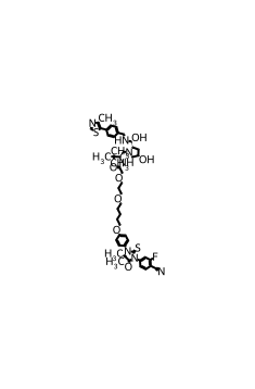 Cc1ncsc1-c1ccc(CNC(O)[C@@H]2C[C@@H](O)CN2C[C@@H](NC(=O)COCCCOCCCCCOc2ccc(N3C(=S)N(c4ccc(C#N)c(F)c4)C(=O)C3(C)C)cc2)C(C)(C)C)cc1